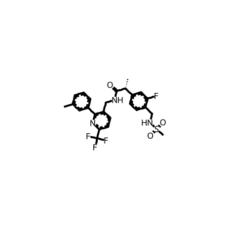 Cc1cccc(-c2nc(C(F)(F)F)ccc2CNC(=O)[C@H](C)c2ccc(CNS(C)(=O)=O)c(F)c2)c1